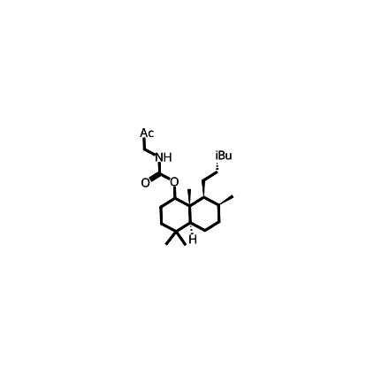 CC[C@@H](C)CC[C@H]1[C@@H](C)CC[C@H]2C(C)(C)CCC(OC(=O)NCC(C)=O)[C@]12C